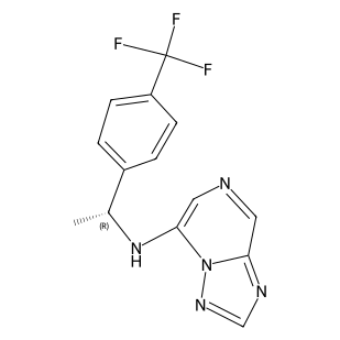 C[C@@H](Nc1cncc2ncnn12)c1ccc(C(F)(F)F)cc1